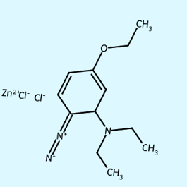 CCOC1=CC(N(CC)CC)C(=[N+]=[N-])C=C1.[Cl-].[Cl-].[Zn+2]